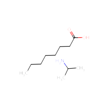 CC(C)N.CCCCCCCC(=O)O